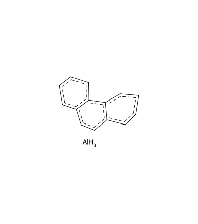 [AlH3].c1ccc2c(c1)ccc1ccccc12